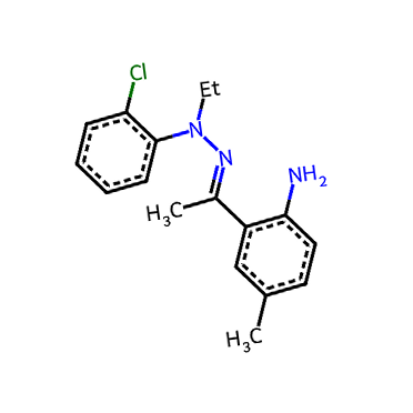 CCN(/N=C(\C)c1cc(C)ccc1N)c1ccccc1Cl